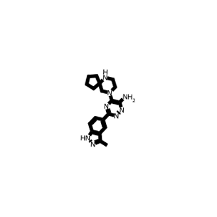 Cc1n[nH]c2ccc(-c3nnc(N)c(N4CCNC5(CCCC5)C4)n3)cc12